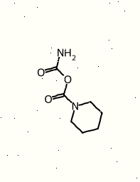 NC(=O)OC(=O)N1CCCCC1